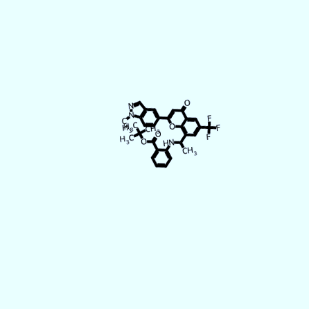 CC(Nc1ccccc1C(=O)OC(C)(C)C)c1cc(C(F)(F)F)cc2c(=O)cc(-c3ccc4c(cnn4C)c3)oc12